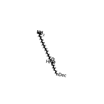 CCCCCCCCCCCCCC=CC=CC(=O)NC(=O)C=CC=CCCCCCCCCCCCCCC(=O)CN